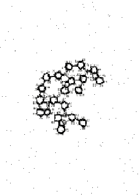 c1ccc(-c2ccc(N(c3cccc(-c4cccc(N(c5ccc(-c6cccc(-c7ccc8c(c7)oc7c(N(c9cccc(-c%10cccc(N(c%11ccc(-c%12ccccc%12)cc%11)c%11cccc%12c%11oc%11ccccc%11%12)c%10)c9)c9cccc%10ccccc9%10)cccc78)c6)cc5)c5cccc6c5oc5ccccc56)c4)c3)c3cccc4c3oc3ccccc34)cc2)cc1